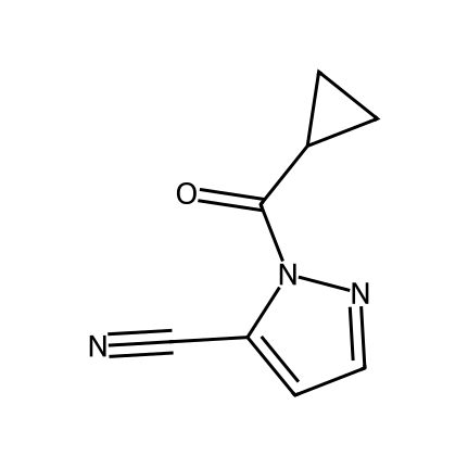 N#Cc1ccnn1C(=O)C1CC1